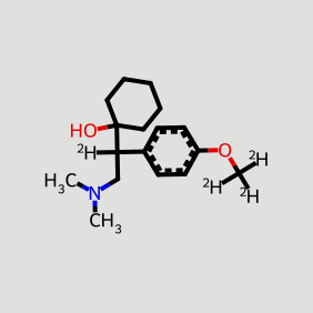 [2H]C([2H])([2H])Oc1ccc(C([2H])(CN(C)C)C2(O)CCCCC2)cc1